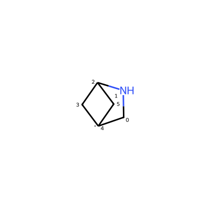 C1NC2C[C]1C2